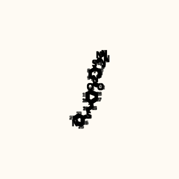 Cn1nnnc1SC1CCN(C(=O)Oc2ccc(CCSc3ccncc3)cc2)CC1